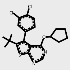 CC(C)(C)c1sc2ncnc(OC3CCCC3)c2c1-c1ccc(Cl)c(Cl)c1